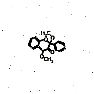 COC1C(=O)C(OC)(c2ccccc2)Oc2ccccc21